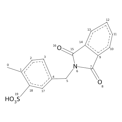 Cc1ccc(CN2C(=O)c3ccccc3C2=O)cc1S(=O)(=O)O